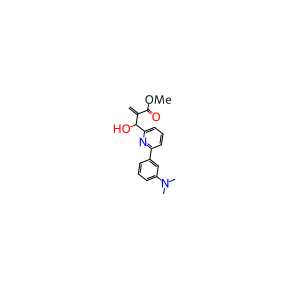 C=C(C(=O)OC)C(O)c1cccc(-c2cccc(N(C)C)c2)n1